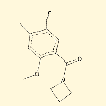 COc1cc(C)c(F)cc1C(=O)N1CCC1